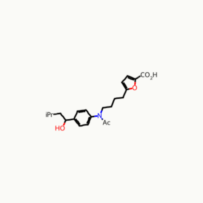 CC(=O)N(CCCCc1ccc(C(=O)O)o1)c1ccc(C(O)CC(C)C)cc1